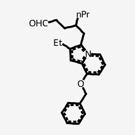 CCCC(CCC=O)Cc1c(CC)cc2c(OCc3ccccc3)cccn12